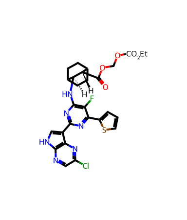 CCOC(=O)OCOC(=O)[C@H]1C2CCC(CC2)[C@@H]1Nc1nc(-c2c[nH]c3ncc(Cl)nc23)nc(-c2cccs2)c1F